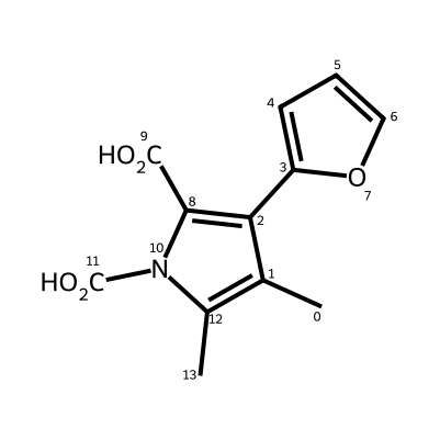 Cc1c(-c2ccco2)c(C(=O)O)n(C(=O)O)c1C